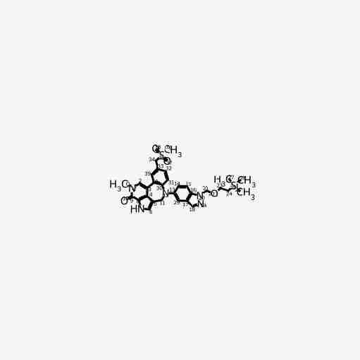 Cn1cc2c3c(c[nH]c3c1=O)CN(c1ccc3c(cnn3COCC[Si](C)(C)C)c1)c1ccc(CS(C)(=O)=O)cc1-2